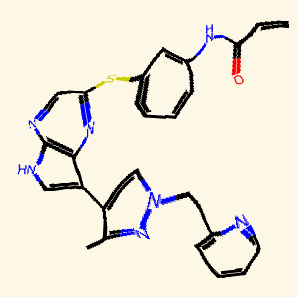 C=CC(=O)Nc1cccc(Sc2cnc3[nH]cc(-c4cn(Cc5ccccn5)nc4C)c3n2)c1